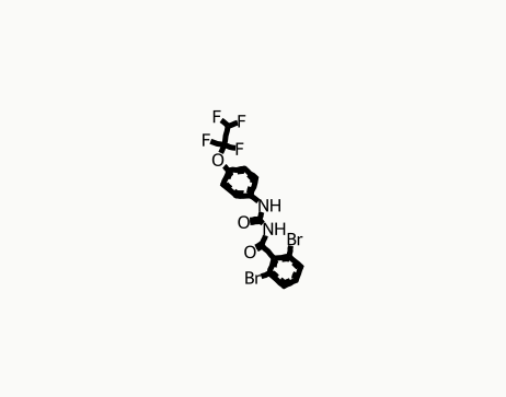 O=C(NC(=O)c1c(Br)cccc1Br)Nc1ccc(OC(F)(F)C(F)F)cc1